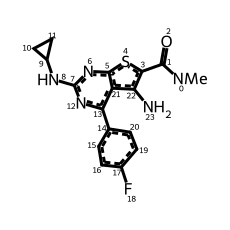 CNC(=O)c1sc2nc(NC3CC3)nc(-c3ccc(F)cc3)c2c1N